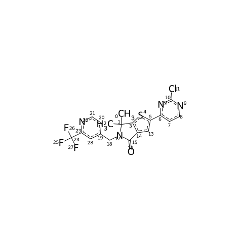 CC1(C)c2sc(-c3ccnc(Cl)n3)cc2C(=O)N1Cc1ccnc(C(F)(F)F)c1